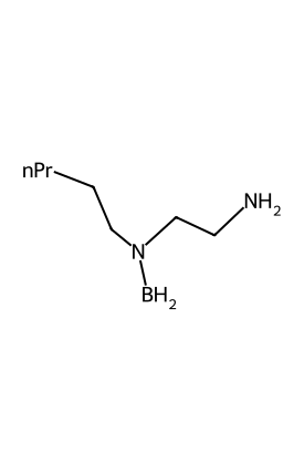 BN(CCN)CCCCC